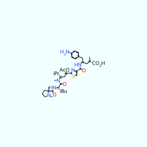 CCC(C)[C@H](NC(=O)[C@@]1(C)CCCN1C)C(=O)N(C)[C@H](C[C@@H](OC(C)=O)c1nc(C(=O)N[C@@H](Cc2ccc(N)cc2)C[C@H](C)C(=O)O)cs1)C(C)C